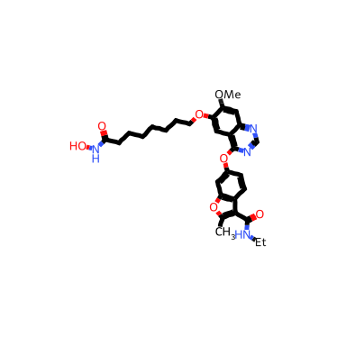 CCNC(=O)c1c(C)oc2cc(Oc3ncnc4cc(OC)c(OCCCCCCCC(=O)NO)cc34)ccc12